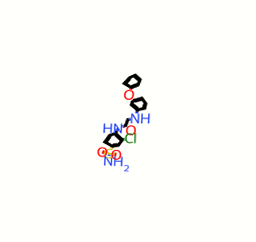 NS(=O)(=O)c1ccc(NC(=O)CNc2cccc(Oc3ccccc3)c2)c(Cl)c1